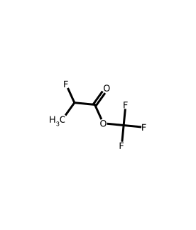 CC(F)C(=O)OC(F)(F)F